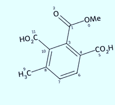 COC(=O)c1c(C(=O)O)ccc(C)c1C(=O)O